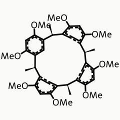 COc1cc(OC)c2cc1[C@H](C)c1cc(c(OC)cc1OC)[C@H](C)c1cc(c(OC)cc1OC)[C@H](C)c1cc(c(OC)cc1OC)[C@@H]2C